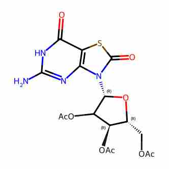 CC(=O)OC[C@H]1O[C@@H](n2c(=O)sc3c(=O)[nH]c(N)nc32)C(OC(C)=O)[C@@H]1OC(C)=O